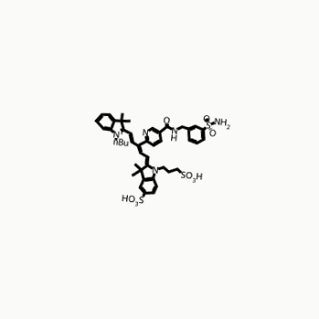 CCCC[N+]1=C(/C=C/C(=C/C=C2/N(CCCS(=O)(=O)O)c3ccc(S(=O)(=O)O)cc3C2(C)C)c2ccc(C(=O)NCc3cccc(S(N)(=O)=O)c3)cn2)C(C)(C)c2ccccc21